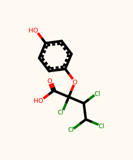 O=C(O)C(Cl)(Oc1ccc(O)cc1)C(Cl)C(Cl)Cl